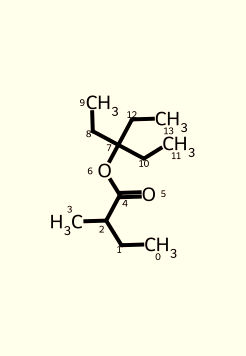 CCC(C)C(=O)OC(CC)(CC)CC